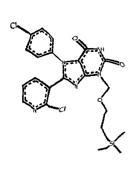 C[Si](C)(C)CCOCn1c(=O)[nH]c(=O)c2c1nc(-c1cccnc1Cl)n2-c1ccc(Cl)cc1